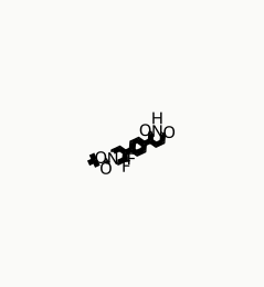 CC(C)(C)OC(=O)N1CCC(c2ccc(C3CCC(=O)NC3=O)cc2)C(F)(F)C1